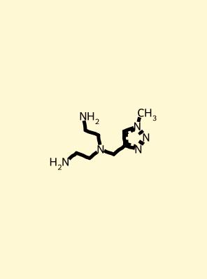 Cn1cc(CN(CCN)CCN)nn1